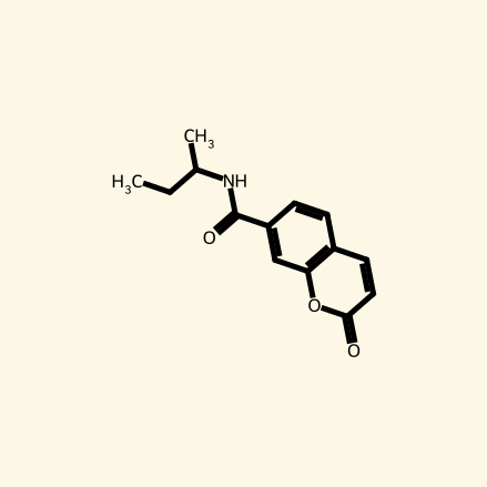 CCC(C)NC(=O)c1ccc2ccc(=O)oc2c1